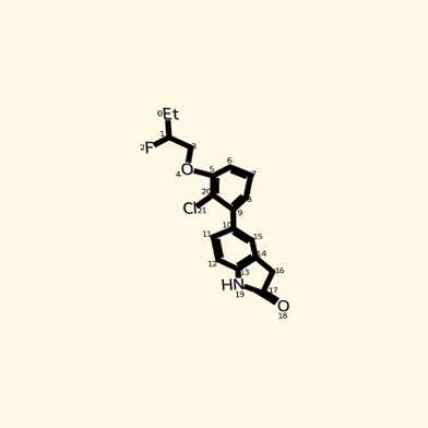 CCC(F)COc1cccc(-c2ccc3c(c2)CC(=O)N3)c1Cl